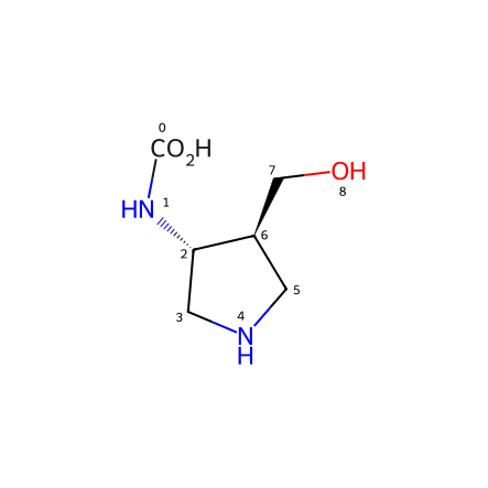 O=C(O)N[C@H]1CNC[C@@H]1CO